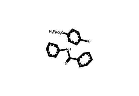 O=C(O)c1ccc(Br)cc1.S=C(Nc1ccccc1)c1ccccc1.[PbH2]